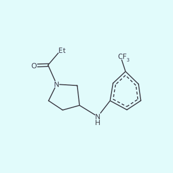 CCC(=O)N1CCC(Nc2cccc(C(F)(F)F)c2)C1